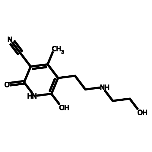 Cc1c(CCNCCO)c(O)[nH]c(=O)c1C#N